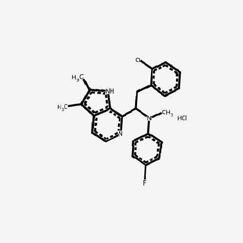 Cc1[nH]c2c(C(Cc3ccccc3Cl)N(C)c3ccc(F)cc3)nccc2c1C.Cl